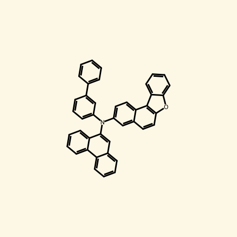 c1ccc(-c2cccc(N(c3ccc4c(ccc5oc6ccccc6c54)c3)c3cc4ccccc4c4ccccc34)c2)cc1